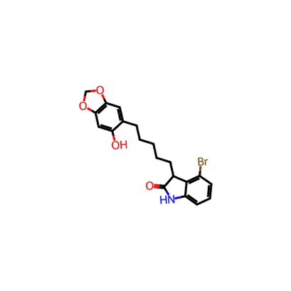 O=C1Nc2cccc(Br)c2C1CCCCCc1cc2c(cc1O)OCO2